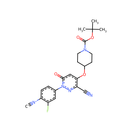 [C-]#[N+]c1ccc(-n2nc(C#N)c(OC3CCN(C(=O)OC(C)(C)C)CC3)cc2=O)cc1F